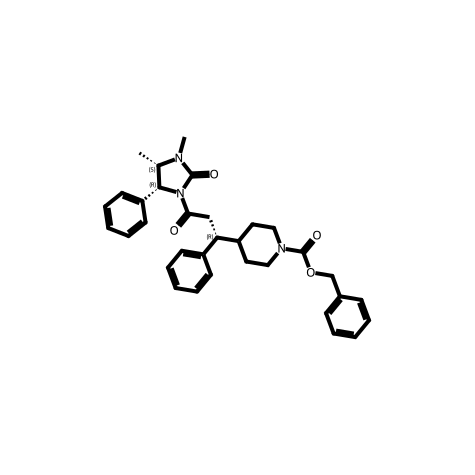 C[C@H]1[C@@H](c2ccccc2)N(C(=O)C[C@@H](c2ccccc2)C2CCN(C(=O)OCc3ccccc3)CC2)C(=O)N1C